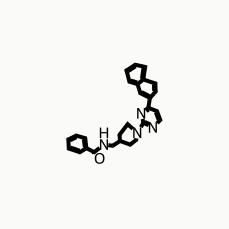 O=C(NCC1CCN(c2nccc(-c3ccc4ccccc4c3)n2)CC1)c1ccccc1